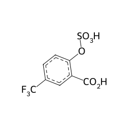 O=C(O)c1cc(C(F)(F)F)ccc1OS(=O)(=O)O